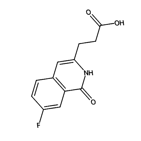 O=C(O)CCc1cc2ccc(F)cc2c(=O)[nH]1